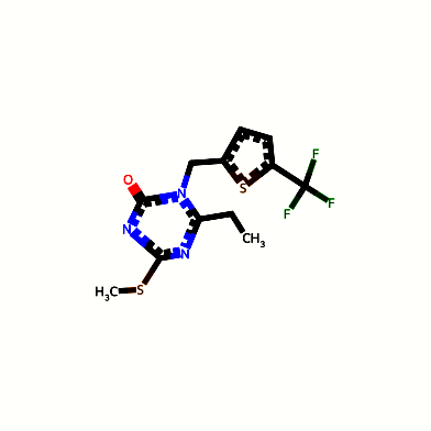 CCc1nc(SC)nc(=O)n1Cc1ccc(C(F)(F)F)s1